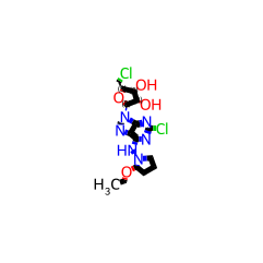 CCOC1CCCN1Nc1nc(Cl)nc2c1ncn2[C@@H]1O[C@H](CCl)[C@@H](O)[C@H]1O